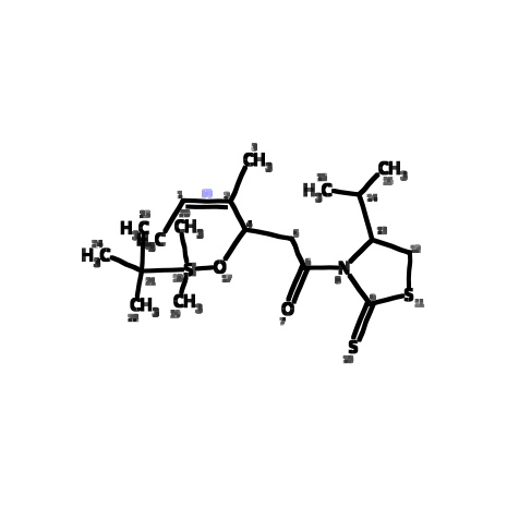 C/C=C(/C)C(CC(=O)N1C(=S)SCC1C(C)C)O[Si](C)(C)C(C)(C)C